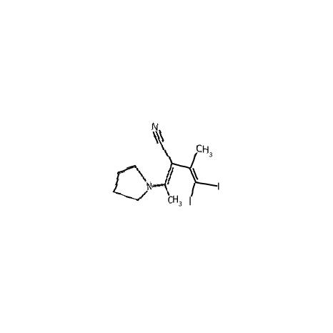 CC(=C(I)I)/C(C#N)=C(\C)N1CCCC1